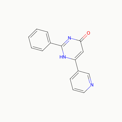 O=c1cc(-c2cccnc2)[nH]c(-c2ccccc2)n1